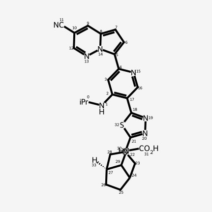 CC(C)Nc1cc(-c2ccc3cc(C#N)cnn23)ncc1-c1nnc(N2CC3CC[C@@H](C2)C3NC(=O)O)s1